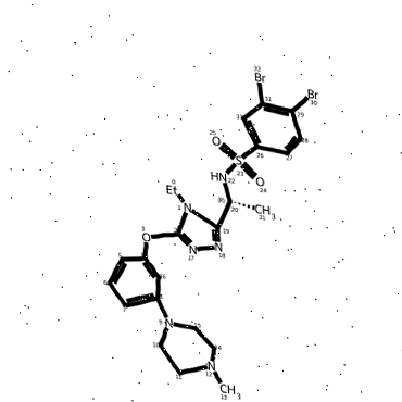 CCn1c(Oc2cccc(N3CCN(C)CC3)c2)nnc1[C@@H](C)NS(=O)(=O)c1ccc(Br)c(Br)c1